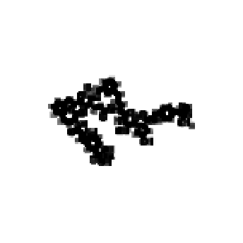 Cc1ncsc1-c1ccc(CNC(=O)[C@@H]2C[C@@H](O)CN2C(=O)[C@@H](NC(=O)CCCCc2cccc(CO[C@H](C)[C@H](CCC(N)=O)NC(=O)[C@@H]3Cc4cccc5c4N3C(=O)[C@@H](NC(=O)c3cc4cc(C(=O)P(=O)(O)O)ccc4[nH]3)CC5)c2)C(C)(C)C)cc1